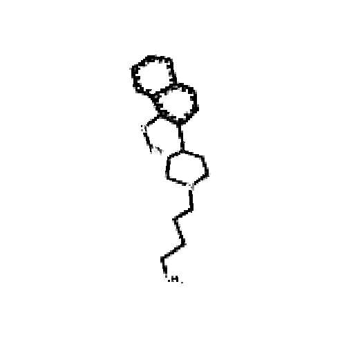 CCCOc1c(C2CCN(CCCCN)CC2)ccc2ccccc12